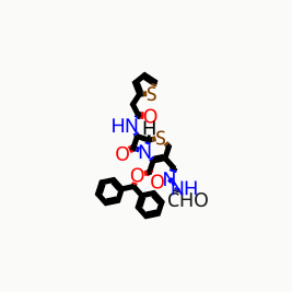 O=CNN=CC1=C(C(=O)OC(c2ccccc2)c2ccccc2)N2C(=O)C(NC(=O)Cc3cccs3)[C@@H]2SC1